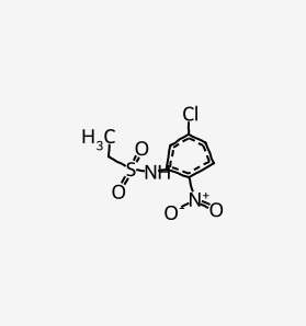 CCS(=O)(=O)Nc1cc(Cl)ccc1[N+](=O)[O-]